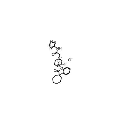 O=C(C[N+]12CCC(CC1)[C@@H](OC(=O)C1(c3ccccc3)CCCCCC1)C2)Nc1ncns1.[Cl-]